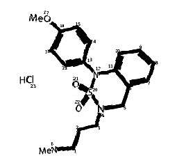 CNCCCN1Cc2ccccc2N(c2ccc(OC)cc2)S1(=O)=O.Cl